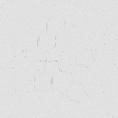 O=C1N(C(c2ccccc2)c2ccccc2)c2c(F)cccc2C1(O)c1cc2c(cc1O)OCCO2